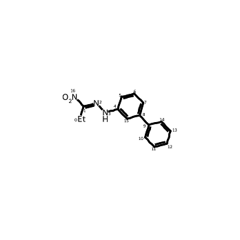 CC/C(=N\Nc1cccc(-c2ccccc2)c1)[N+](=O)[O-]